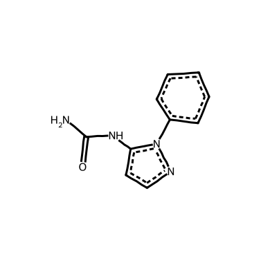 NC(=O)Nc1ccnn1-c1ccccc1